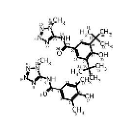 Cc1cc(C(=O)Nc2nnnn2C)cc(C)c1O.Cn1nnnc1NC(=O)c1cc(C(C)(C)C)c(O)c(C(C)(C)C)c1